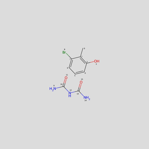 Cc1c(O)cccc1Br.NC(=O)NC(N)=O